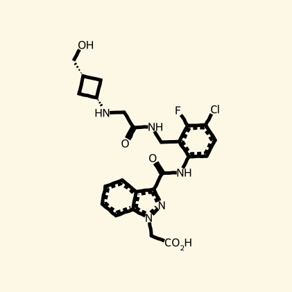 O=C(O)Cn1nc(C(=O)Nc2ccc(Cl)c(F)c2CNC(=O)CN[C@H]2C[C@@H](CO)C2)c2ccccc21